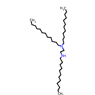 CCCCCCCCCCCCNCCN(CCCCCCCCCCCC)CCCCCCCCCCCC